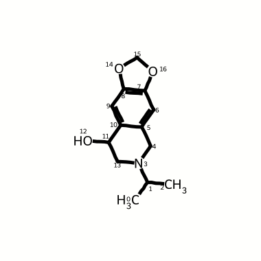 CC(C)N1Cc2cc3c(cc2C(O)C1)OCO3